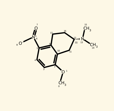 COc1ccc([N+](=O)[O-])c2c1C[C@@H](N(C)C)CC2